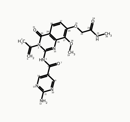 C=C(C)n1c(NC(=O)c2cnc(N)nc2)nc2c(OC)c(OCC(=O)NC)ccc2c1=O